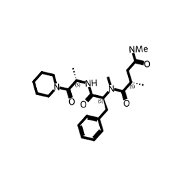 CNC(=O)C[C@H](C)C(=O)N(C)[C@@H](Cc1ccccc1)C(=O)N[C@@H](C)C(=O)N1CCCCC1